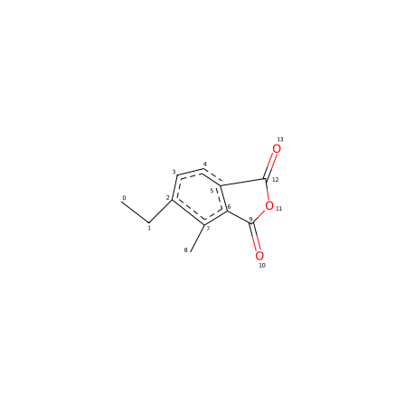 CCc1ccc2c(c1C)C(=O)OC2=O